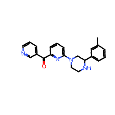 Cc1cccc(C2CN(c3cccc(C(=O)c4cccnc4)n3)CCN2)c1